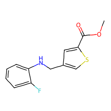 COC(=O)c1cc(CNc2ccccc2F)cs1